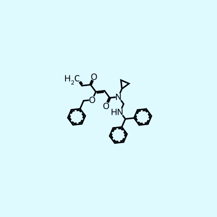 C=CC(=O)/C(=C/C(=O)N(CNC(c1ccccc1)c1ccccc1)C1CC1)OCc1ccccc1